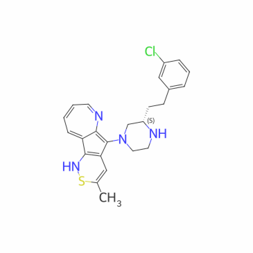 CC1=Cc2c(c3ccccnc-3c2N2CCN[C@@H](CCc3cccc(Cl)c3)C2)NS1